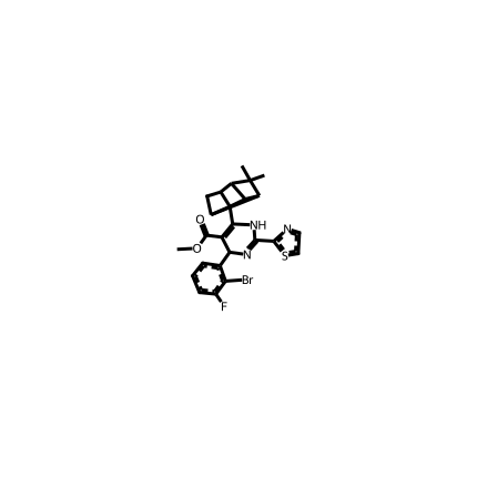 COC(=O)C1=C(C23C4CC2C2C3C4C2(C)C)NC(c2nccs2)=NC1c1cccc(F)c1Br